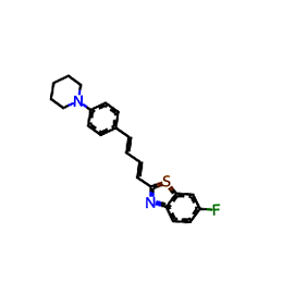 Fc1ccc2nc(C=CC=Cc3ccc(N4CCCCC4)cc3)sc2c1